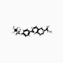 O=C(O)N1CCc2nc(-c3ccc(OS(=O)(=O)C(F)(F)F)cc3)ncc2C1